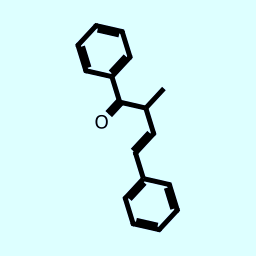 CC(C=Cc1ccccc1)C(=O)c1ccccc1